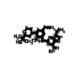 CCNc1nc(Nc2cc(CN)cc(N3CCOC(C(C)(C)O)C3)c2Cl)nn2c(CN)cnc12